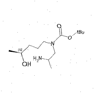 CC(N)CN(CCC[C@H](C)O)C(=O)OC(C)(C)C